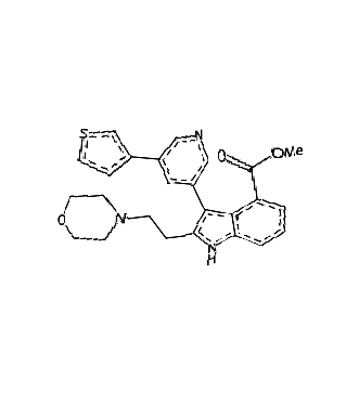 COC(=O)c1cccc2[nH]c(CCN3CCOCC3)c(-c3cncc(-c4ccsc4)c3)c12